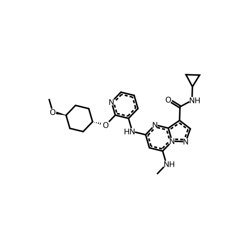 CNc1cc(Nc2cccnc2O[C@H]2CC[C@H](OC)CC2)nc2c(C(=O)NC3CC3)cnn12